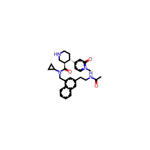 CC(=O)NCCc1cc(CN(C(=O)[C@H]2CNCC[C@@H]2c2ccn(C)c(=O)c2)C2CC2)c2ccccc2c1